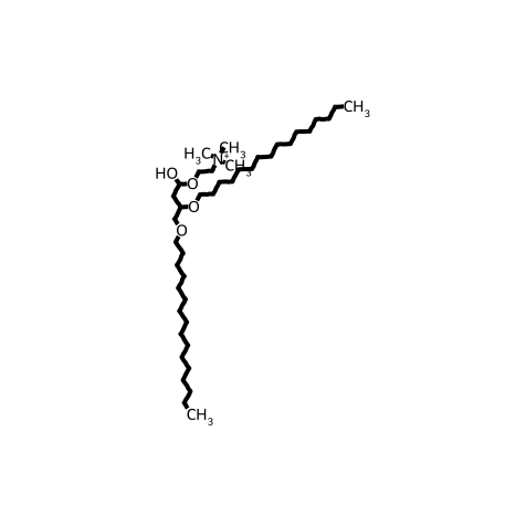 CCCCCCCCCCCCCCCCOCC(CC(O)OCC[N+](C)(C)C)OCCCCCCCCCCCCCCCC